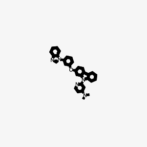 CN(C)c1ccnc(-n2c3ccccc3c3ccc(Oc4cccc(-n5cnc6ccccc65)c4)cc32)c1